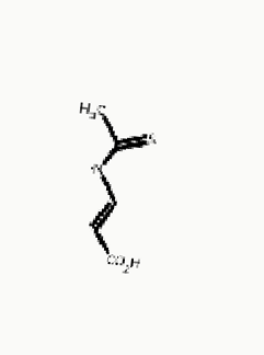 CC(=S)[N]/C=C/C(=O)O